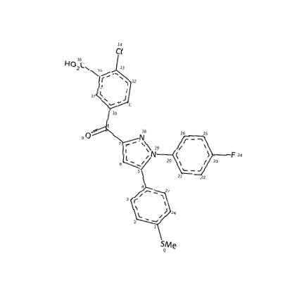 CSc1ccc(-c2cc(C(=O)c3ccc(Cl)c(C(=O)O)c3)nn2-c2ccc(F)cc2)cc1